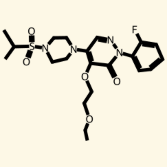 CCOCCOc1c(N2CCN(S(=O)(=O)C(C)C)CC2)cnn(-c2ccccc2F)c1=O